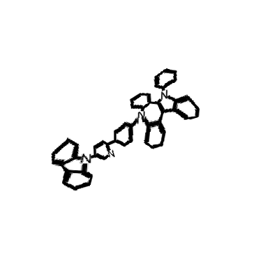 c1ccc(-n2c3c(c4ccccc42)-c2ccccc2N(c2ccc(-c4ccc(-n5c6ccccc6c6ccccc65)cn4)cc2)c2ccccc2-3)cc1